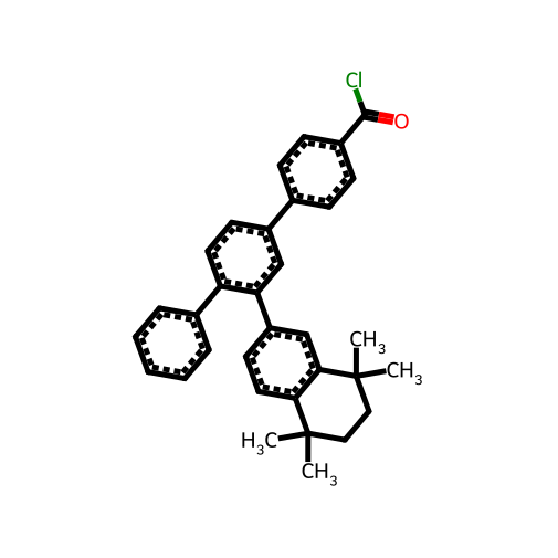 CC1(C)CCC(C)(C)c2cc(-c3cc(-c4ccc(C(=O)Cl)cc4)ccc3-c3ccccc3)ccc21